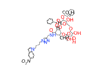 CC1CC(C(=O)NCc2cn(CCCCn3ccc4cc([N+](=O)[O-])ccc43)nn2)C[C@H]2O[C@@H]3OC(COC4O[C@@H](OC12)C(O)C(O)[C@@H]4O)[C@H](O)C(O[C@@H](CC1CCCCC1)C(=O)O)C3OC(=O)c1ccccc1